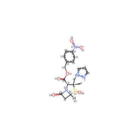 C[C@]1(Cn2cccn2)[C@H](C(=O)OCc2ccc([N+](=O)[O-])cc2)N2C(=O)C[C@H]2[S+]1[O-]